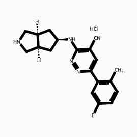 Cc1ccc(F)cc1-c1cc(C#N)c(N[C@H]2C[C@H]3CNC[C@H]3C2)nn1.Cl